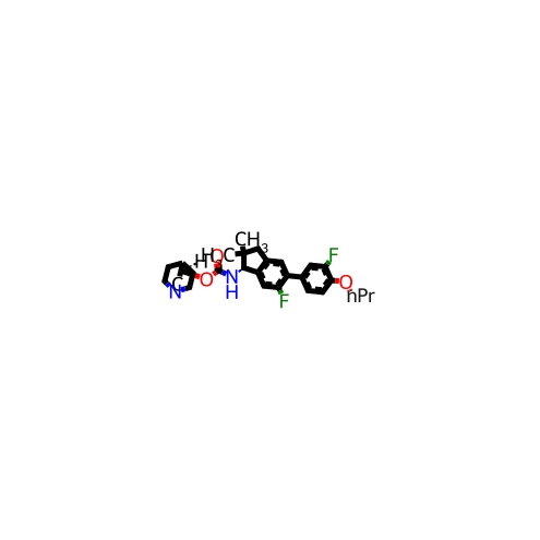 CCCOc1ccc(-c2cc3c(cc2F)[C@H](NC(=O)O[C@H]2CN4CCC2CC4)C(C)(C)C3)cc1F